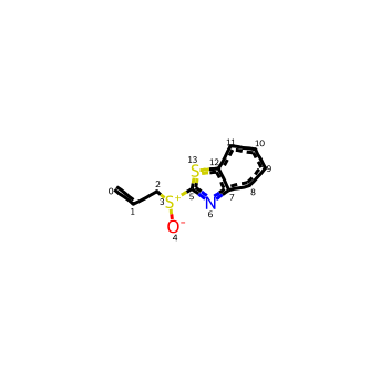 C=CC[S+]([O-])c1nc2ccccc2s1